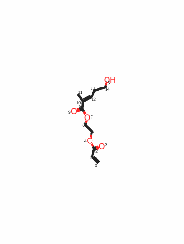 C=CC(=O)OCCOC(=O)C(C)=CCCO